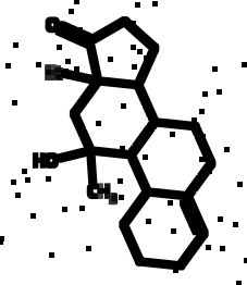 CCC12CC(C)(O)C3C4CCCC=C4CCC3C1CCC2=O